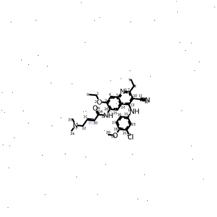 CCOc1cc2nc(CC)c(C#N)c(Nc3ccc(OC)c(Cl)c3)c2cc1NC(=O)/C=C/CN(C)C